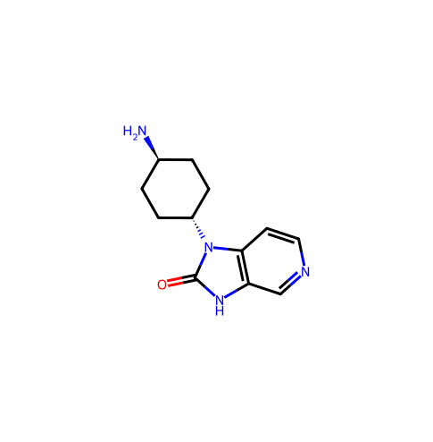 N[C@H]1CC[C@H](n2c(=O)[nH]c3cnccc32)CC1